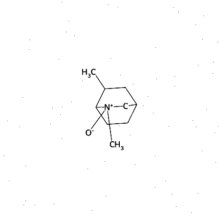 CC1CC2CCC1[N+](C)([O-])C2